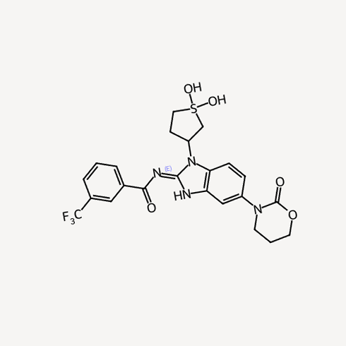 O=C(/N=c1\[nH]c2cc(N3CCCOC3=O)ccc2n1C1CCS(O)(O)C1)c1cccc(C(F)(F)F)c1